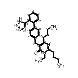 CCCCc1nc(CCCC)n(CC)c(=O)c1Cc1ccc(-c2ccccc2-c2nnn[nH]2)cc1